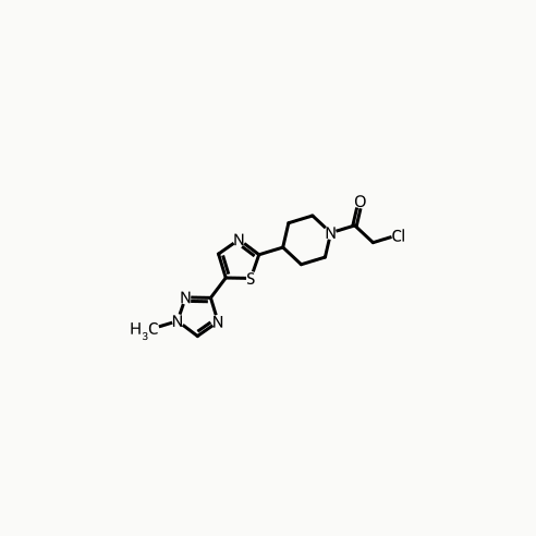 Cn1cnc(-c2cnc(C3CCN(C(=O)CCl)CC3)s2)n1